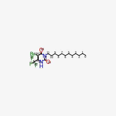 CCCCCCCCCCCCn1c(=O)[nH]c(C(F)(F)F)c(Br)c1=O